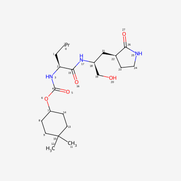 CC(C)C[C@H](NC(=O)OC1CCC(C)(C)CC1)C(=O)N[C@H](CO)C[C@@H]1CCNC1=O